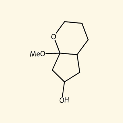 COC12CC(O)CC1CCCO2